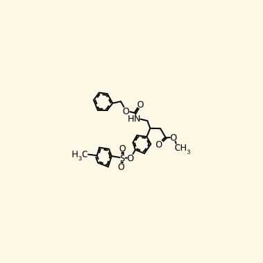 COC(=O)CC(CNC(=O)OCc1ccccc1)c1ccc(OS(=O)(=O)c2ccc(C)cc2)cc1